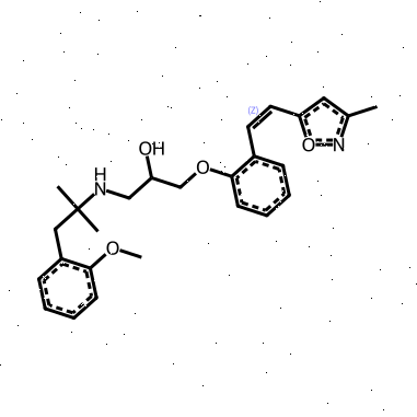 COc1ccccc1CC(C)(C)NCC(O)COc1ccccc1/C=C\c1cc(C)no1